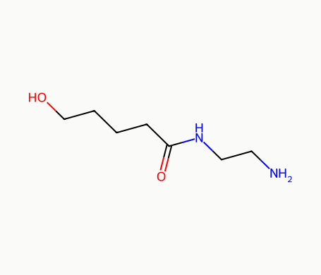 NCCNC(=O)CCCCO